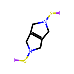 ISN1CC2=C(C1)CN(SI)C2